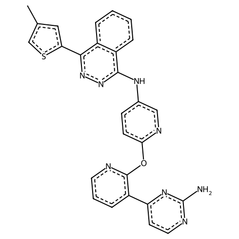 Cc1csc(-c2nnc(Nc3ccc(Oc4ncccc4-c4ccnc(N)n4)nc3)c3ccccc23)c1